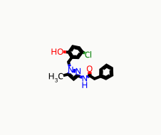 Cc1cc(NC(=O)Cc2ccccc2)nn1Cc1cc(Cl)ccc1O